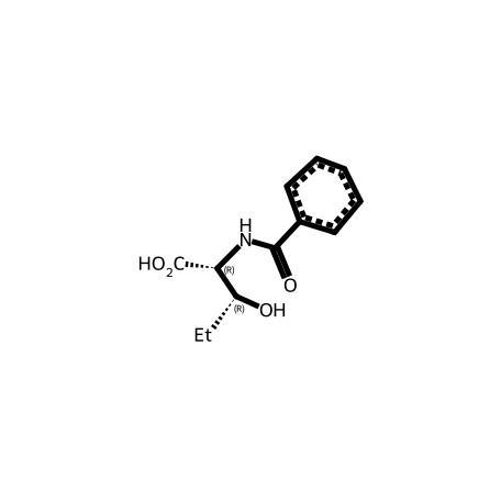 CC[C@@H](O)[C@@H](NC(=O)c1ccccc1)C(=O)O